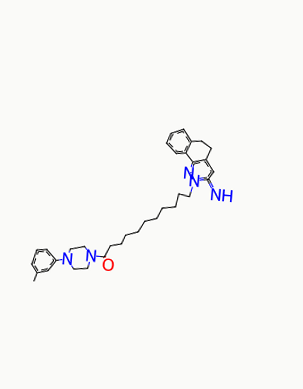 Cc1cccc(N2CCN(C(=O)CCCCCCCCCCn3nc4c(cc3=N)CCc3ccccc3-4)CC2)c1